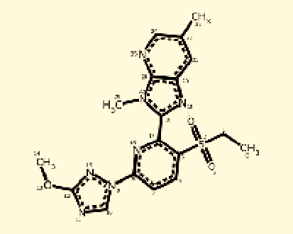 CCS(=O)(=O)c1ccc(-n2cnc(OC)n2)nc1-c1nc2cc(C)cnc2n1C